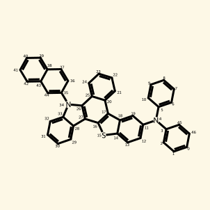 c1ccc(N(c2ccccc2)c2ccc3sc4c(c3c2)c2ccccc2c2c4c3ccccc3n2-c2ccc3ccccc3c2)cc1